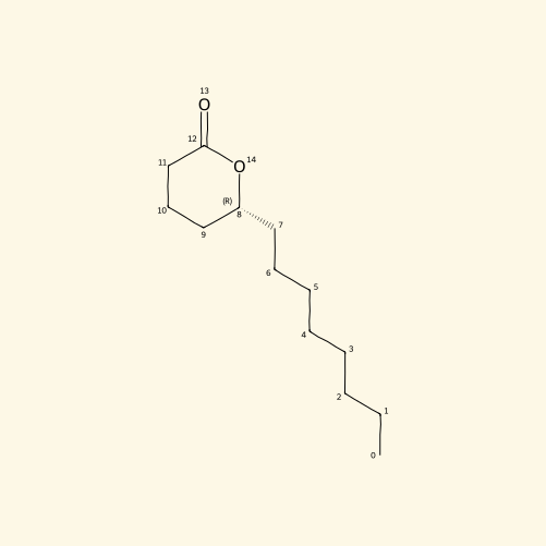 CCCCCCCC[C@@H]1CCCC(=O)O1